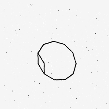 C1CCCCC2CC(CCC1)C2